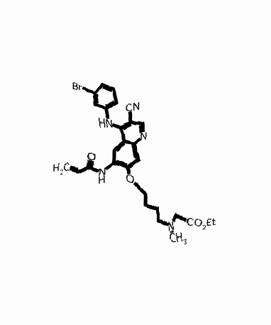 C=CC(=O)Nc1cc2c(Nc3cccc(Br)c3)c(C#N)cnc2cc1OCCCCN(C)CC(=O)OCC